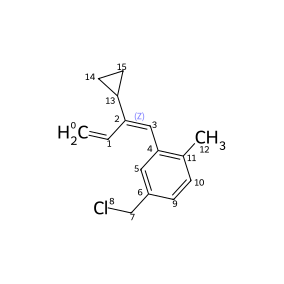 C=C/C(=C\c1cc(CCl)ccc1C)C1CC1